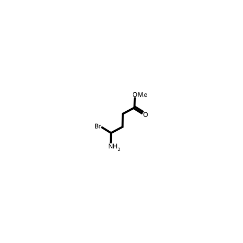 COC(=O)CCC(N)Br